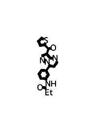 CCC(=O)Nc1cccc(-c2ccnc3c(C(=O)c4cccs4)cnn23)c1